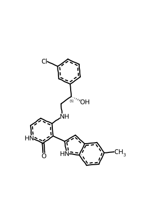 Cc1ccc2[nH]c(-c3c(NC[C@@H](O)c4cccc(Cl)c4)cc[nH]c3=O)cc2c1